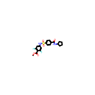 COC(=O)c1c(F)cc(NS(=O)(=O)c2ccc(C(=O)NC3CCCC3)cc2)cc1F